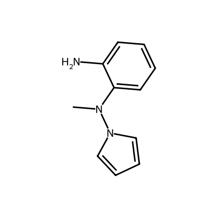 CN(c1ccccc1N)n1cccc1